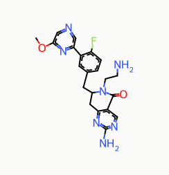 COc1cncc(-c2cc(CC3Cc4nc(N)ncc4C(=O)N3CCN)ccc2F)n1